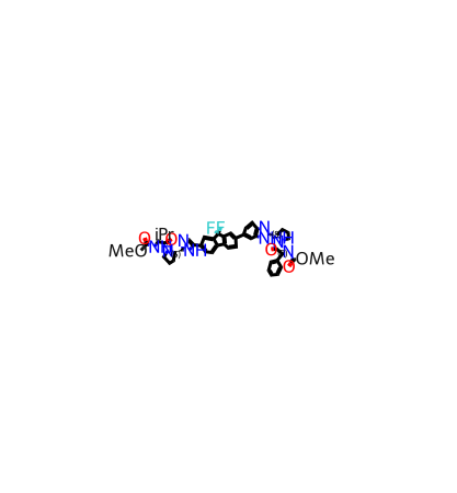 COC(=O)NC(C(=O)N1CCC[C@H]1c1ncc(-c2ccc3c(c2)C(F)(F)c2cc(-c4ccc5nc([C@@H]6CCCN6C(=O)[C@H](NC(=O)OC)c6ccccc6)[nH]c5c4)ccc2-3)[nH]1)C(C)C